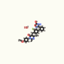 Br.CCCc1nc(C)n(-c2ccc(OC(C)C)cc2)c(=O)c1Cc1ccc(-c2ccccc2-c2noc(=O)[nH]2)cc1F